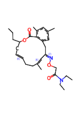 CCCC1C/C=C/CC/C(C)=C/C(=N\OCC(=O)N(CC)CC)Cc2cc(C)cc(C)c2C(=O)O1